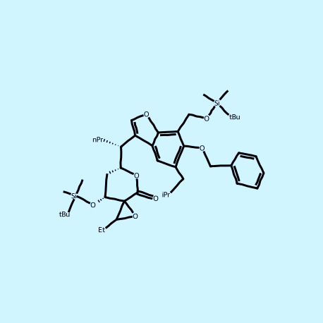 CCC[C@H](c1coc2c(CO[Si](C)(C)C(C)(C)C)c(OCc3ccccc3)c(CC(C)C)cc12)[C@H]1C[C@@H](O[Si](C)(C)C(C)(C)C)C2(OC2CC)C(=O)O1